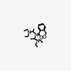 CCN(CC)C(C)N(C(=O)c1ccccc1C[O])C(C)N(CC)CC